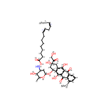 CCCCC/C=C\C/C=C\CCCCCCCC(=O)ONC1CC(O[C@H]2C[C@](O)(C(=O)CO)Cc3c(O)c4c(c(O)c32)C(=O)c2c(OC)cccc2C4=O)OC(C)C1O